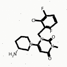 Cn1c(=O)cc(N2CCC[C@@H](N)C2)n(Cc2c(F)ccc(F)c2Cl)c1=O